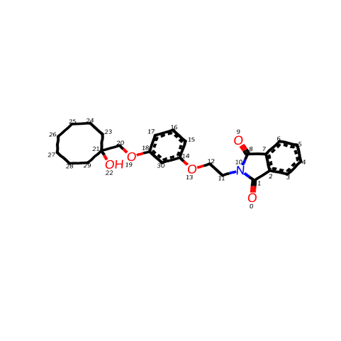 O=C1c2ccccc2C(=O)N1CCOc1cccc(OCC2(O)CCCCCCC2)c1